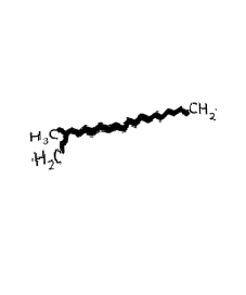 [CH2]CCCCCCCCCCCCCCCCCCC(CC)CCC[CH2]